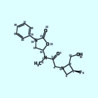 CN(C(=O)CN1C[C@H](F)C1CO)C1CN(c2ccccc2)C(=O)O1